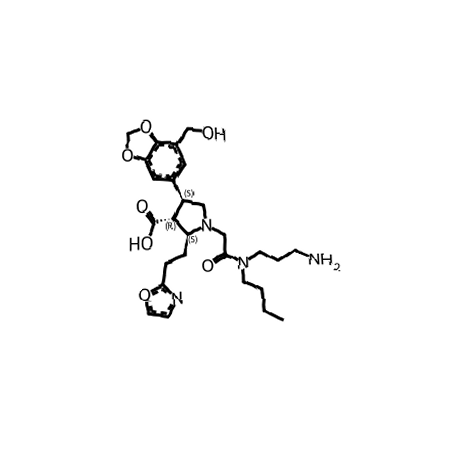 CCCCN(CCCN)C(=O)CN1C[C@H](c2cc(CO)c3c(c2)OCO3)[C@@H](C(=O)O)[C@@H]1CCc1ncco1